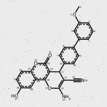 COc1cccc(-c2ccc(C3C(C#N)=C(N)Oc4c3c(=O)oc3ccc(O)cc43)cc2)c1